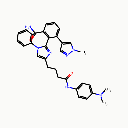 CN(C)c1ccc(NC(=O)CCCc2cn(-c3ccccc3)c(-c3c(C(N)=O)cccc3-c3cnn(C)c3)n2)cc1